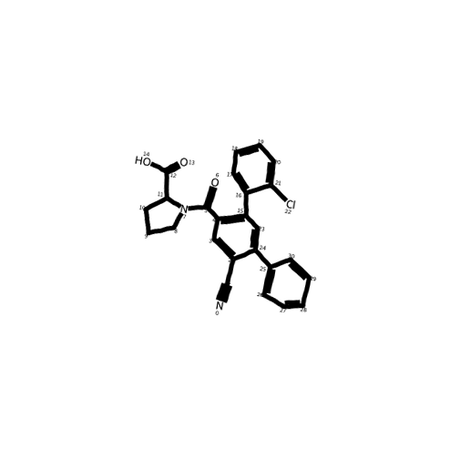 N#Cc1cc(C(=O)N2CCCC2C(=O)O)c(-c2ccccc2Cl)cc1-c1ccccc1